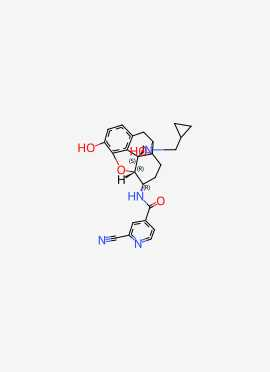 N#Cc1cc(C(=O)N[C@@H]2CCC3(O)C4Cc5ccc(O)c6c5[C@@]3(CCN4CC3CC3)[C@H]2O6)ccn1